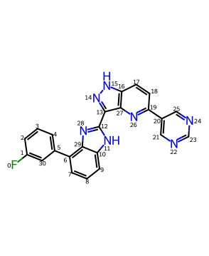 Fc1cccc(-c2cccc3[nH]c(-c4n[nH]c5ccc(-c6cncnc6)nc45)nc23)c1